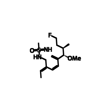 C=C(/C=C\C(=C/C)CNS(C)(=N)=O)[C@@H](OC)[C@H](C)CCF